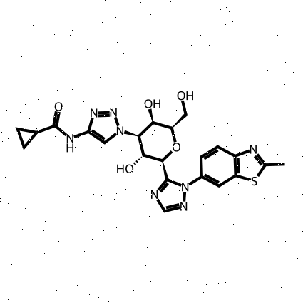 Cc1nc2ccc(-n3ncnc3[C@@H]3O[C@H](CO)[C@H](O)[C@H](n4cc(NC(=O)C5CC5)nn4)[C@H]3O)cc2s1